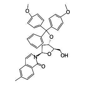 COc1ccc(C(O[C@H]2C[C@H](n3ccc4cc(C)ccc4c3=O)O[C@@H]2CO)(c2ccccc2)c2ccc(OC)cc2)cc1